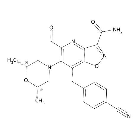 C[C@@H]1CN(c2c(C=O)nc3c(C(N)=O)noc3c2Cc2ccc(C#N)cc2)C[C@H](C)O1